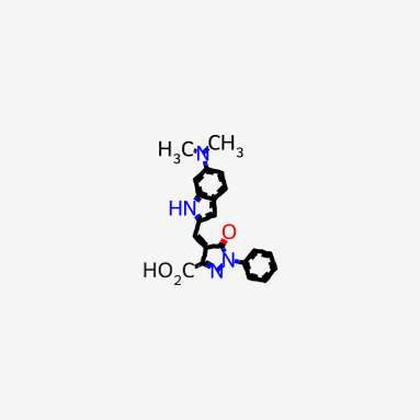 CN(C)c1ccc2cc(/C=C3\C(=O)N(c4ccccc4)N=C3C(=O)O)[nH]c2c1